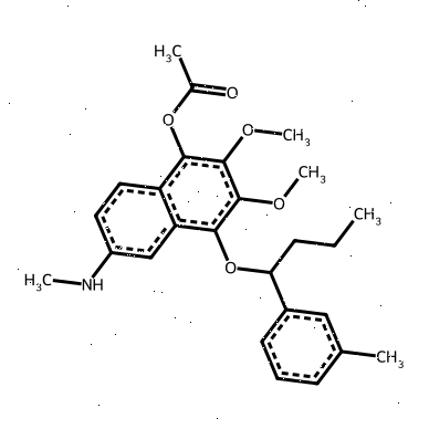 CCCC(Oc1c(OC)c(OC)c(OC(C)=O)c2ccc(NC)cc12)c1cccc(C)c1